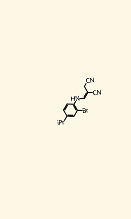 CC(C)c1ccc(NC=C(C#N)CC#N)c(Br)c1